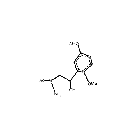 COc1ccc(OC)c(C(O)CN(N)C(C)=O)c1